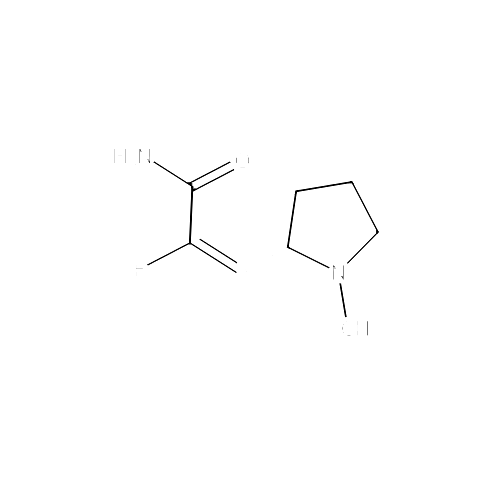 CN1CCC[C@H]1/C=C(/F)C(N)=O